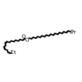 CC/C=C\C/C=C\C/C=C\CCCCCCCC(=O)OCCCCCCCCCCCCCCCCCCCC(C)C